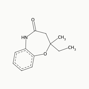 CCC1(C)CC(=O)Nc2ccccc2O1